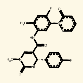 Cc1cc(F)c(-n2ncccc2=O)cc1NC(=O)C1=CN(C)C(=O)N[C@H]1c1ccc(F)cc1